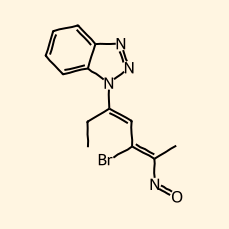 CC/C(=C\C(Br)=C(/C)N=O)n1nnc2ccccc21